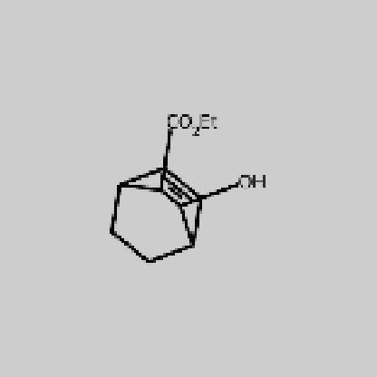 CCOC(=O)C1=C(O)C2C=CC1CC2